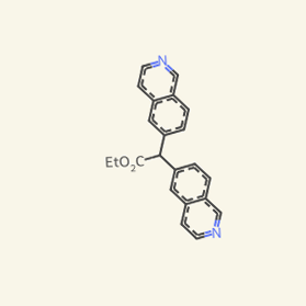 CCOC(=O)C(c1ccc2cnccc2c1)c1ccc2cnccc2c1